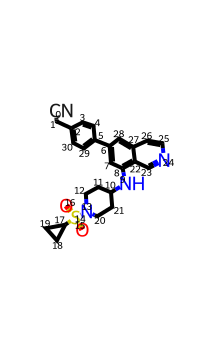 N#CCc1ccc(-c2cc(NC3CCN(S(=O)(=O)C4CC4)CC3)c3cnccc3c2)cc1